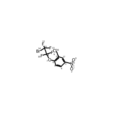 O=[N+]([O-])c1ccc(OC(F)(F)C(F)(F)Br)c(Cl)c1